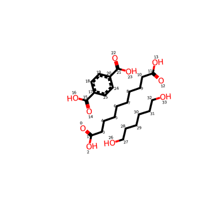 O=C(O)CCCCCCCCC(=O)O.O=C(O)c1ccc(C(=O)O)cc1.OCCCCCCO